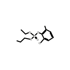 CCCSP(=O)(OCC)Oc1c(C)cccc1Cl